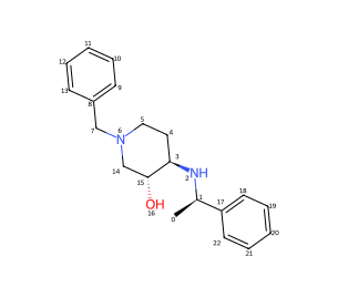 C[C@@H](N[C@@H]1CCN(Cc2ccccc2)C[C@H]1O)c1ccccc1